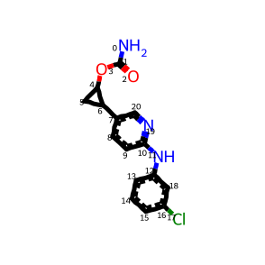 NC(=O)OC1CC1c1ccc(Nc2cccc(Cl)c2)nc1